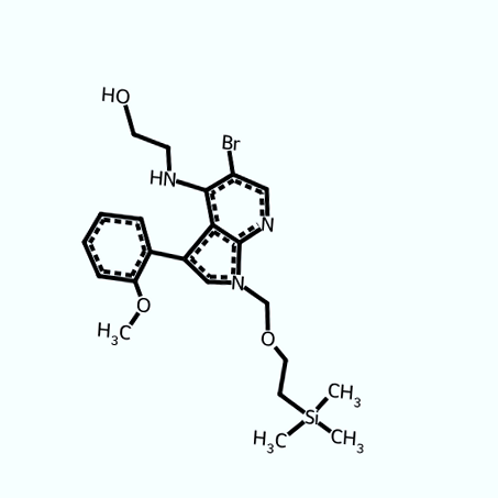 COc1ccccc1-c1cn(COCC[Si](C)(C)C)c2ncc(Br)c(NCCO)c12